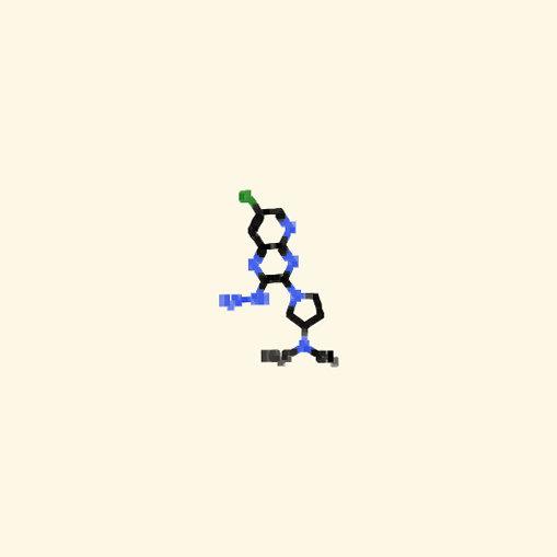 CN(C(=O)O)C1CCN(c2nc3ncc(Cl)cc3nc2NN)C1